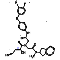 CN(C(=O)CN(CC(=O)Nc1ccc(Oc2ccc(F)c(F)c2)cc1)C(=O)/C(O)=C/C=N)C1Cc2ccccc2C1